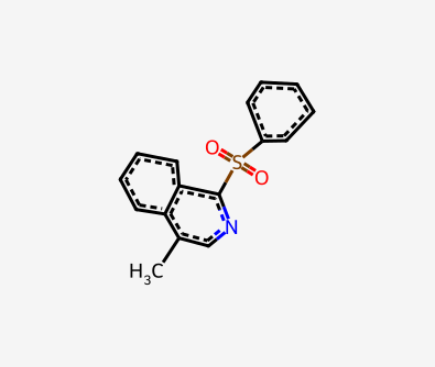 Cc1cnc(S(=O)(=O)c2ccccc2)c2ccccc12